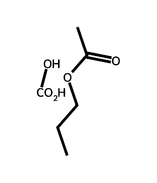 CCCOC(C)=O.O=C(O)O